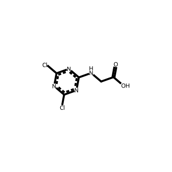 O=C(O)CNc1nc(Cl)nc(Cl)n1